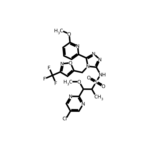 COc1cccc(-c2nnc(NS(=O)(=O)C(C)C(OC)c3ncc(Cl)cn3)n2Cc2cc(C(F)(F)F)no2)n1